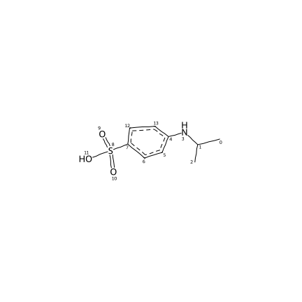 CC(C)Nc1ccc(S(=O)(=O)O)cc1